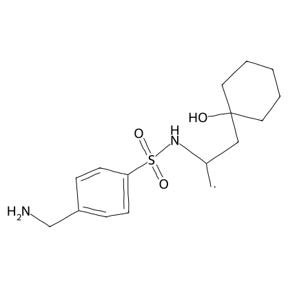 [CH2]C(CC1(O)CCCCC1)NS(=O)(=O)c1ccc(CN)cc1